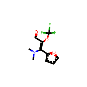 CN(C)C(=C(C=O)OC(F)(F)F)c1ccco1